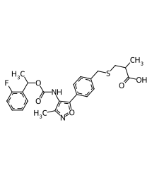 Cc1noc(-c2ccc(CSCC(C)C(=O)O)cc2)c1NC(=O)OC(C)c1ccccc1F